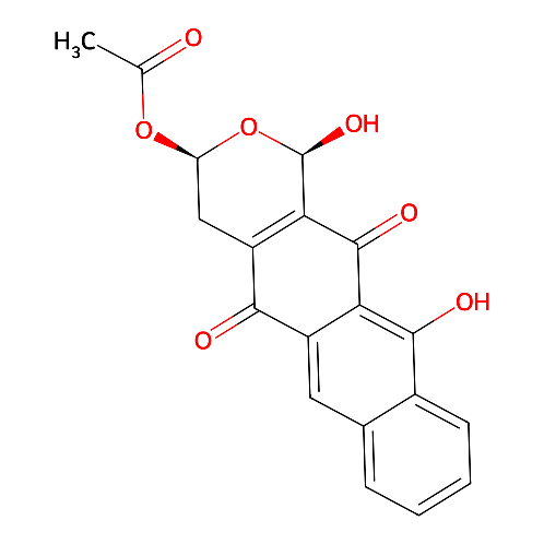 CC(=O)O[C@@H]1CC2=C(C(=O)c3c(cc4ccccc4c3O)C2=O)[C@H](O)O1